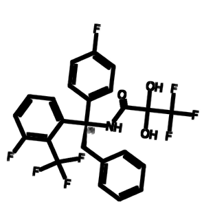 O=C(N[C@@](Cc1ccccc1)(c1ccc(F)cc1)c1cccc(F)c1C(F)(F)F)C(O)(O)C(F)(F)F